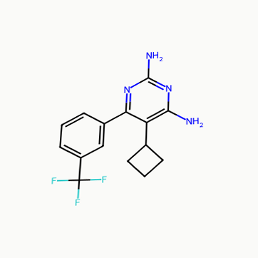 Nc1nc(N)c(C2CCC2)c(-c2cccc(C(F)(F)F)c2)n1